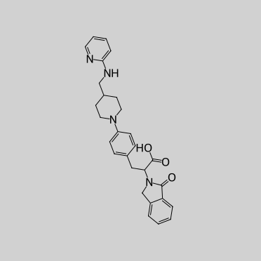 O=C(O)C(Cc1ccc(N2CCC(CNc3ccccn3)CC2)cc1)N1Cc2ccccc2C1=O